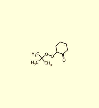 CC(C)(C)OOC1CCCCC1=O